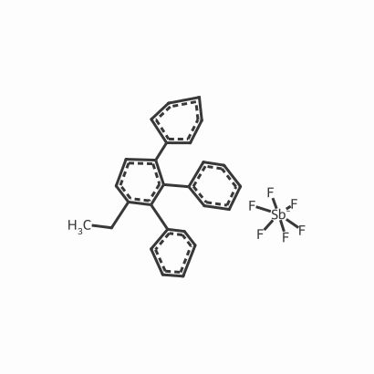 CCc1ccc(-c2ccccc2)c(-c2ccccc2)c1-c1ccccc1.[F][Sb-]([F])([F])([F])([F])[F]